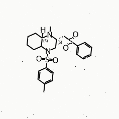 Cc1ccc(S(=O)(=O)N2C[C@@H](CS(=O)(=O)c3ccccc3)N(C)[C@H]3CCCCC32)cc1